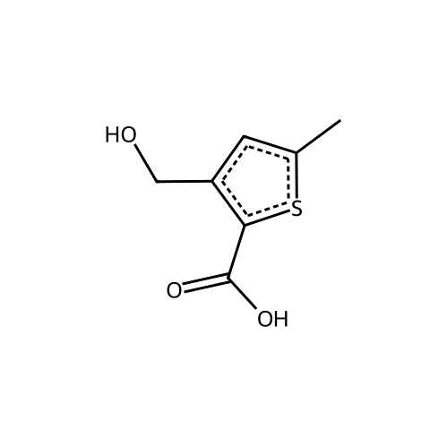 Cc1cc(CO)c(C(=O)O)s1